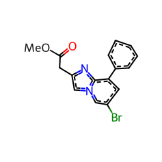 COC(=O)Cc1cn2cc(Br)cc(-c3ccccc3)c2n1